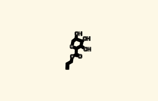 C=CCOC(=O)C1OCC(O)C(O)C1O